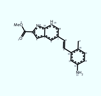 COC(=O)c1cc2cc(C=Cc3cc(N)ccc3C)c[nH]c-2n1